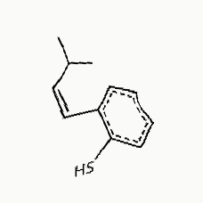 CC(C)/C=C\c1ccccc1S